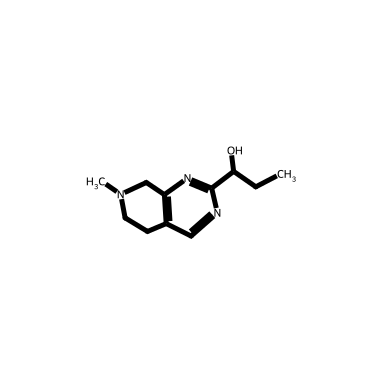 CCC(O)c1ncc2c(n1)CN(C)CC2